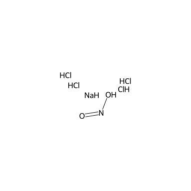 Cl.Cl.Cl.Cl.O=NO.[NaH]